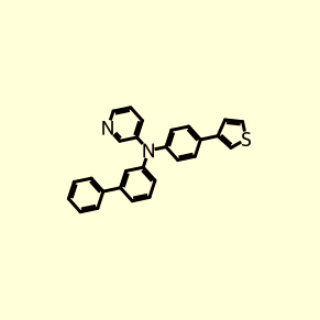 c1ccc(-c2cccc(N(c3ccc(-c4ccsc4)cc3)c3cccnc3)c2)cc1